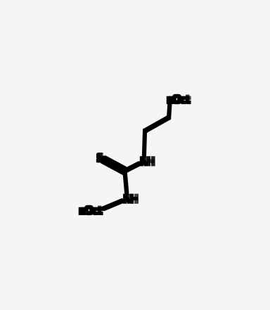 CCCCCCCCCCNC(=S)NCCCCCCCC